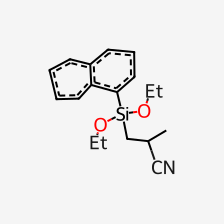 CCO[Si](CC(C)C#N)(OCC)c1cccc2ccccc12